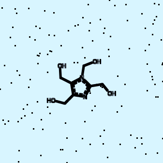 OCc1nc(CO)n(CO)c1CO